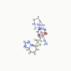 N#Cc1ccc(N2C3CCC2CN(C(=O)/C=C/C(F)(F)c2cccc4ncnn24)C3)nc1